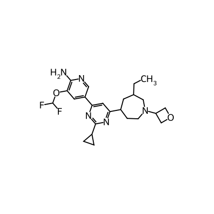 CCC1CC(c2cc(-c3cnc(N)c(OC(F)F)c3)nc(C3CC3)n2)CCN(C2COC2)C1